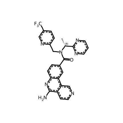 C[C@H](c1ncccn1)N(Cc1ccc(C(F)(F)F)cn1)C(=O)c1ccc2nc(N)c3ccncc3c2c1